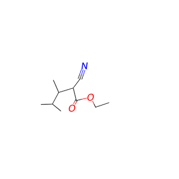 CCOC(=O)C(C#N)C(C)C(C)C